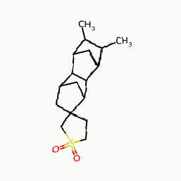 CC1C(C)C2CC1C1C3CC(C21)C1(CCS(=O)(=O)C1)C3